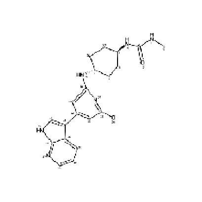 CNC(=O)N[C@H]1CC[C@H](Nc2cc(-c3c[nH]c4ncccc34)cc(Cl)n2)CC1